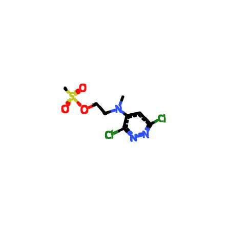 CN(CCOS(C)(=O)=O)c1cc(Cl)nnc1Cl